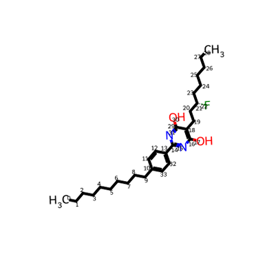 CCCCCCCCCCc1ccc(-c2nc(O)c(CC[C@@H](F)CCCCCC)c(O)n2)cc1